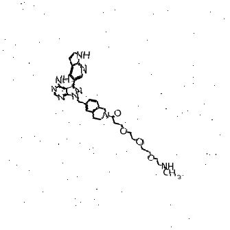 CNCCOCCOCCOCCC(=O)N1CCc2cc(Cn3nc(-c4cnc5[nH]ccc5c4)c4c(N)ncnc43)ccc2C1